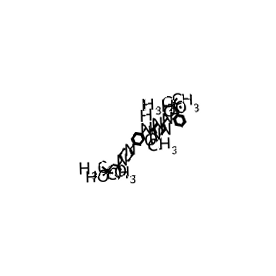 COc1cc(N2CCN(C(=O)CC(C)(C)O)CC2)ccc1Nc1ncnc(Nc2ccccc2S(=O)(=O)C(C)C)n1